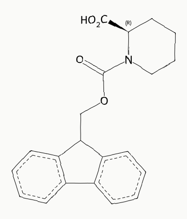 O=C(O)[C@H]1CCCCN1C(=O)OCC1c2ccccc2-c2ccccc21